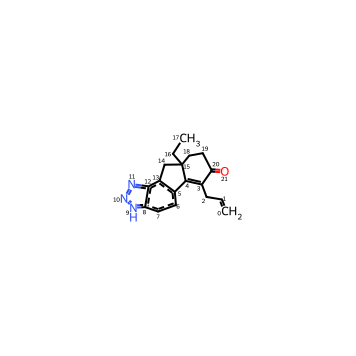 C=CCC1=C2c3ccc4[nH]nnc4c3CC2(CC)CCC1=O